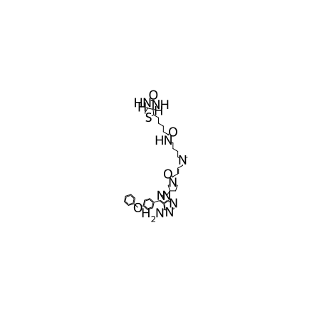 CN(C/C=C/C(=O)N1CC[C@@H](n2nc(-c3ccc(Oc4ccccc4)cc3)c3c(N)ncnc32)C1)CCCCNC(=O)CCCCC1SC[C@@H]2NC(=O)N[C@H]12